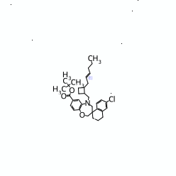 CCC/C=C/CC1CCC1CN1CC2(CCCc3cc(Cl)ccc32)COc2ccc(C(=O)OC(C)(C)C)cc21